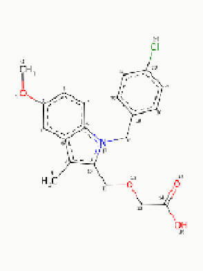 COc1ccc2c(c1)c(C)c(COCC(=O)O)n2Cc1ccc(Cl)cc1